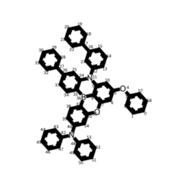 c1ccc(Oc2cc3c4c(c2)N(c2cccc(-c5ccccc5)c2)c2cc(-c5ccccc5)ccc2B4c2ccc(N(c4ccccc4)c4ccccc4)cc2O3)cc1